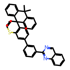 CC1(C)c2ccccc2C2(c3ccccc3Sc3cc(-c4cccc(-c5ncc6ccccc6n5)c4)ccc32)c2ccccc21